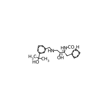 CC(C)(O)c1cccc(CNC[C@H](O)[C@H](Cc2ccccc2)NC(=O)O)c1